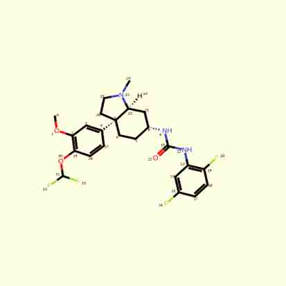 COc1cc([C@@]23CC[C@@H](NC(=O)Nc4cc(F)ccc4F)C[C@@H]2N(C)CC3)ccc1OC(F)F